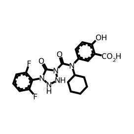 O=C(O)c1cc(N(C(=O)N2NNN(c3c(F)cccc3F)C2=O)C2CCCCC2)ccc1O